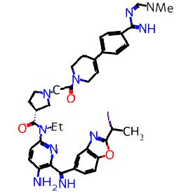 CCN(C(=O)[C@@H]1CCN(CC(=O)N2CC=C(c3ccc(C(=N)/N=C\NC)cc3)CC2)C1)c1ccc(N)c(C(=N)c2ccc3oc(C(C)I)nc3c2)n1